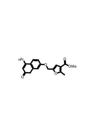 CCCC1=CC(=O)Cc2cc(OCc3cc(C(=O)OC)c(C)o3)ccc21